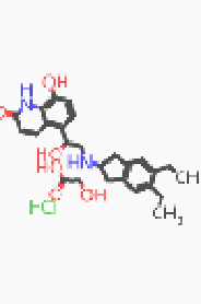 CCc1cc2c(cc1CC)CC(NCC(O)c1ccc(O)c3[nH]c(=O)ccc13)C2.Cl.O=C(O)CO